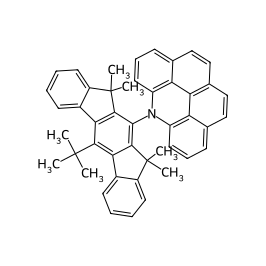 CC(C)(C)c1c2c(c(N3c4cccc5ccc6ccc7cccc3c7c6c45)c3c1-c1ccccc1C3(C)C)C(C)(C)c1ccccc1-2